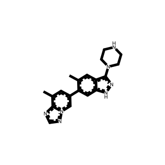 Cc1cc2c(N3CCNCC3)n[nH]c2cc1-c1cc(C)c2ncnn2c1